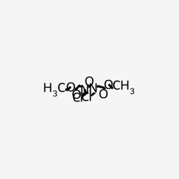 CCOC(=O)CN(CCl)C(=O)N(CCl)CC(=O)OCC